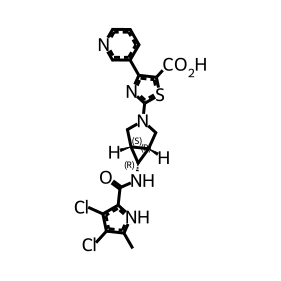 Cc1[nH]c(C(=O)N[C@@H]2[C@@H]3CN(c4nc(-c5cccnc5)c(C(=O)O)s4)C[C@@H]32)c(Cl)c1Cl